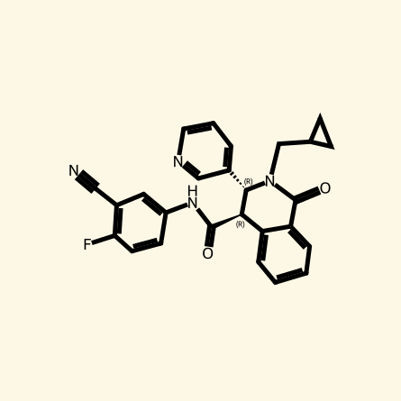 N#Cc1cc(NC(=O)[C@@H]2c3ccccc3C(=O)N(CC3CC3)[C@H]2c2cccnc2)ccc1F